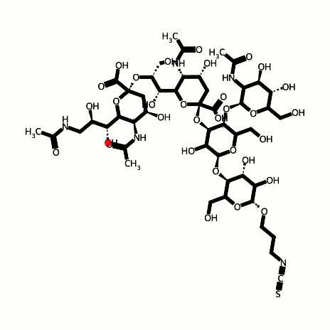 CC(=O)NC[C@@H](O)[C@@H](O)C1O[C@@](O[C@H](CO)[C@@H](O)C2O[C@@](O[C@@H]3C(O)[C@H](O[C@@H]4C(CO)O[C@@H](OCCCN=C=S)C(O)[C@H]4O)OC(CO)[C@@H]3O[C@@H]3OC(CO)[C@@H](O)[C@H](O)C3NC(C)=O)(C(=O)O)C[C@@H](O)[C@H]2NC(C)=O)(C(=O)O)C[C@@H](O)[C@H]1NC(C)=O